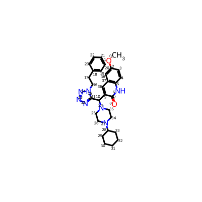 COc1ccc2[nH]c(=O)c(C(c3nnnn3CCc3ccccc3)N3CCN(C4CCCCC4)CC3)cc2c1